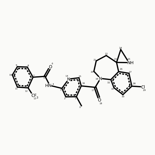 Cc1cc(NC(=O)c2ccccc2C(F)(F)F)ncc1C(=O)N1CCCC2(CN2)c2cc(Cl)ccc21